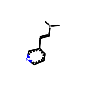 CB(C)/C=C/c1cccnc1